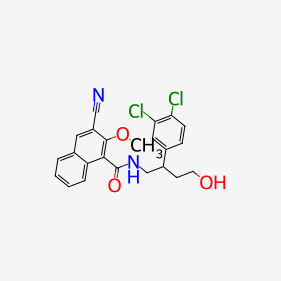 COc1c(C#N)cc2ccccc2c1C(=O)NCC(CCO)c1ccc(Cl)c(Cl)c1